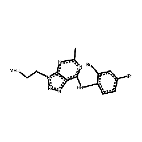 COCCn1nnc2c(Nc3ccc(C(C)C)cc3Br)nc(C)nc21